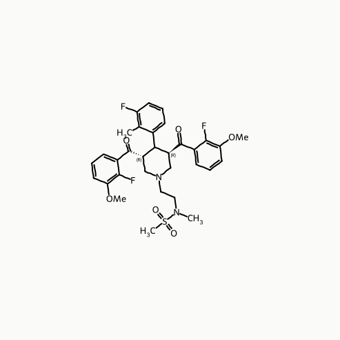 COc1cccc(C(=O)[C@H]2CN(CCN(C)S(C)(=O)=O)C[C@H](C(=O)c3cccc(OC)c3F)C2c2cccc(F)c2C)c1F